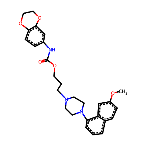 COc1ccc2cccc(N3CCN(CCCOC(=O)Nc4ccc5c(c4)OCCO5)CC3)c2c1